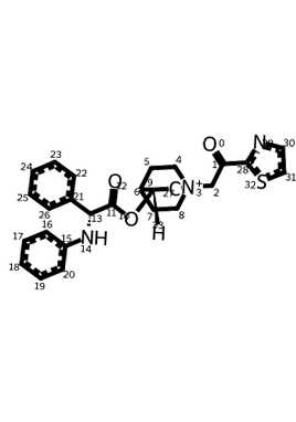 O=C(C[N+]12CCC(CC1)[C@@H](OC(=O)[C@H](Nc1ccccc1)c1ccccc1)C2)c1nccs1